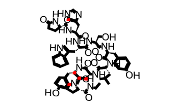 CCNC(=O)[C@@H]1CCCN1C(=O)[C@H](Cc1ccc(O)cc1)NC(=O)[C@H](CC(C)C)NC(=O)[C@@H](CC(C)C)NC(=O)[C@H](Cc1ccc(O)cc1)NC(=O)[C@H](CO)NC(=O)[C@H](Cc1c[nH]c2ccccc12)NC(=O)[C@H](Cc1c[nH]cn1)NC(=O)[C@@H]1CCC(=O)N1